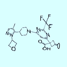 Cc1cnn(C2COC2)c1C1CCN(c2cc(C3(C(=O)O)CC(=O)C3)nc(C(F)(F)F)n2)CC1